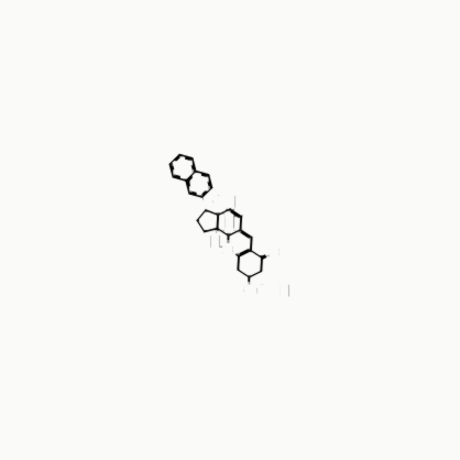 C[C@]12C=CC3=CC4=C(CC(C(=O)O)CC4=O)O[C@H]3[C@@H]1CC[C@@H]2c1ccc2ccccc2c1